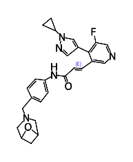 O=C(/C=C/c1cncc(F)c1-c1cnn(C2CC2)c1)Nc1ccc(CN2CC3CC(C2)O3)cc1